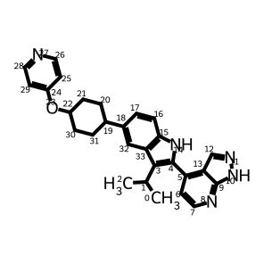 CC(C)c1c(-c2ccnc3[nH]ncc23)[nH]c2ccc(C3CCC(Oc4ccncc4)CC3)cc12